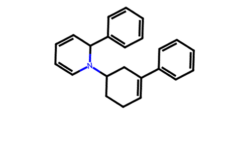 C1=CC(c2ccccc2)N(C2CCC=C(c3ccccc3)C2)C=C1